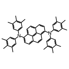 Cc1cc(N(c2cc(C)c(C)c(C)c2)c2ccc3ccc4c(N(c5cc(C)c(C)c(C)c5)c5cc(C)c(C)c(C)c5)ccc5ccc2c3c54)cc(C)c1C